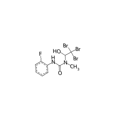 CN(C(=O)Nc1ccccc1F)C(O)C(Br)(Br)Br